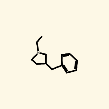 CCN1CCC(Cc2ccccc2)C1